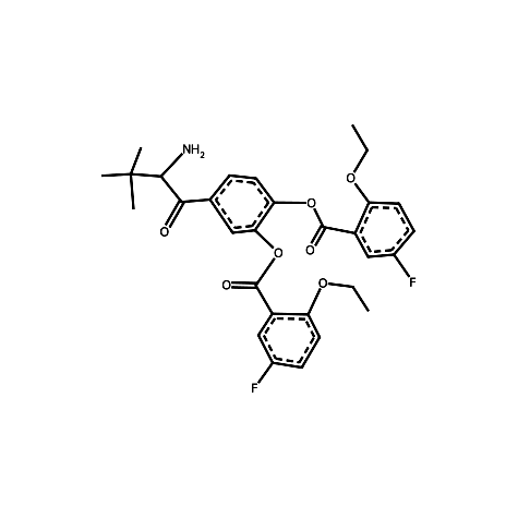 CCOc1ccc(F)cc1C(=O)Oc1ccc(C(=O)C(N)C(C)(C)C)cc1OC(=O)c1cc(F)ccc1OCC